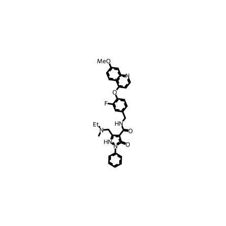 CCN(C)Cc1[nH]n(-c2ccccc2)c(=O)c1C(=O)NCc1ccc(Oc2ccnc3cc(OC)ccc23)c(F)c1